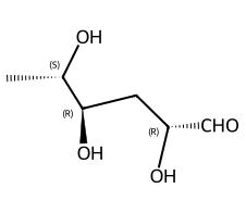 C[C@H](O)[C@H](O)C[C@@H](O)C=O